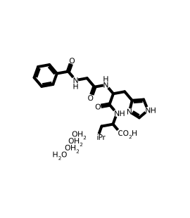 CC(C)CC(NC(=O)C(Cc1c[nH]cn1)NC(=O)CNC(=O)c1ccccc1)C(=O)O.O.O.O.O